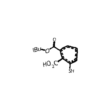 CC(C)(C)OC(=O)c1cccc(S)c1C(=O)O